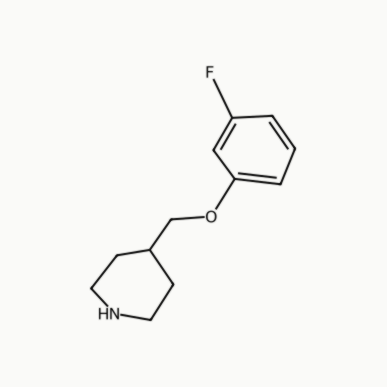 Fc1cccc(OCC2CCNCC2)c1